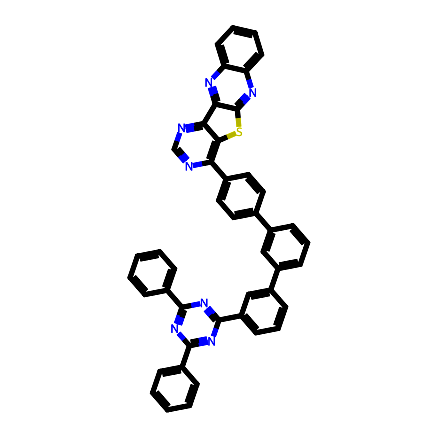 c1ccc(-c2nc(-c3ccccc3)nc(-c3cccc(-c4cccc(-c5ccc(-c6ncnc7c6sc6nc8ccccc8nc67)cc5)c4)c3)n2)cc1